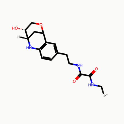 CC(C)CNC(=O)C(=O)NCCc1ccc2c(c1)C1C[C@H](N2)[C@H](O)CO1